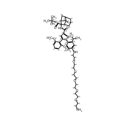 COc1cccc(OC)c1-c1cc(C(=O)NC2(C(=O)OC(C)(C)C)C3CC4CC5CC2C53C4)nn1-c1ccc(NCCOCCOCCOCCOCCOCCN)cc1C(C)C